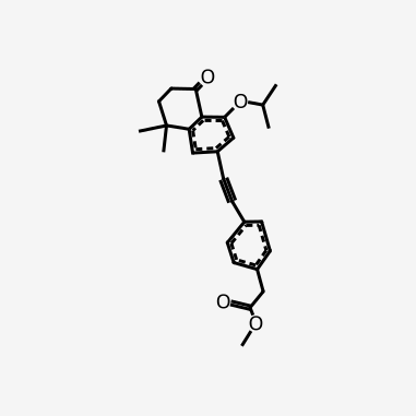 COC(=O)Cc1ccc(C#Cc2cc(OC(C)C)c3c(c2)C(C)(C)CCC3=O)cc1